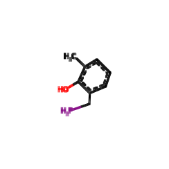 Cc1cccc(CP)c1O